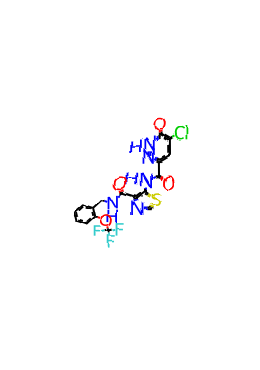 O=C(Nc1scnc1C(=O)NCc1ccccc1OC(F)(F)F)c1cc(Cl)c(=O)[nH]n1